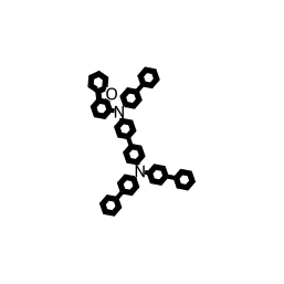 c1ccc(-c2ccc(N(c3ccc(-c4ccccc4)cc3)c3ccc(-c4ccc(N(c5ccc(-c6ccccc6)cc5)c5cccc6c5oc5ccccc56)cc4)cc3)cc2)cc1